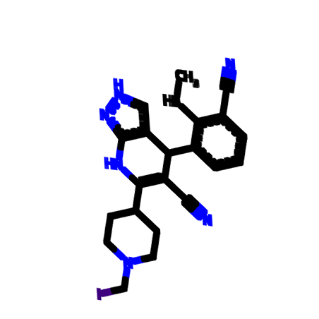 CBc1c(C#N)cccc1C1C(C#N)=C(C2CCN(CI)CC2)Nc2n[nH]cc21